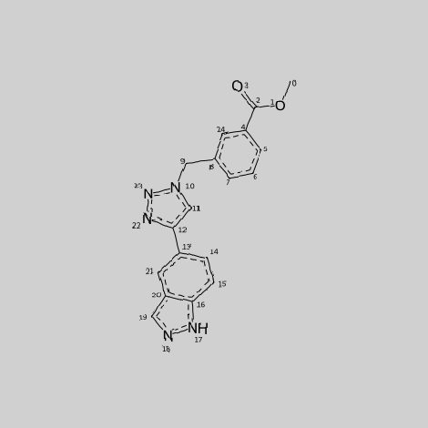 COC(=O)c1cccc(Cn2cc(-c3ccc4[nH]ncc4c3)nn2)c1